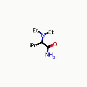 CCN(CC)C(C(N)=O)C(C)C